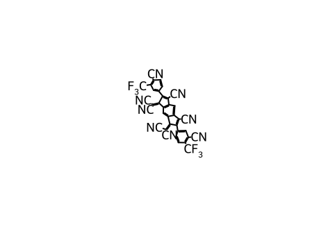 N#CC(C#N)=C1C(c2ccc(C(F)(F)F)c(C#N)c2)=C(C#N)c2cc3c(cc21)C(=C(C#N)C#N)C(c1ccc(C#N)c(C(F)(F)F)c1)=C3C#N